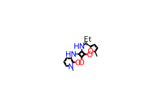 CC[C@@H](Nc1c(Nc2cccn(C)c2=O)c(=O)c1=O)c1ccc(C)o1